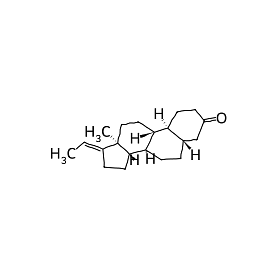 CC=C1CC[C@H]2[C@@H]3CC[C@H]4CC(=O)CC[C@@H]4[C@H]3CC[C@]12C